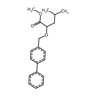 COC(=O)C(CC(C)C)OCc1ccc(-c2ccccc2)cc1